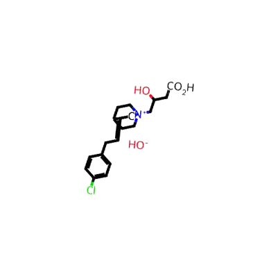 O=C(O)CC(O)C[N+]12CCC(CC1)C(=CCc1ccc(Cl)cc1)C2.[OH-]